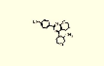 C[C@H]1COCCN1c1nc(-c2ccc(N)cc2)nc2c1CCCO2